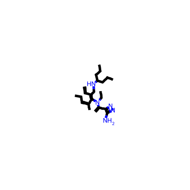 C=C/C(CNC(CCC)CCC)=C(\C(C)=C/CC)N(CC)C(=C)C1=NN=C1N